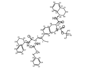 CC/C(=C\[C@H](NC(=O)OCc1ccccc1)C(=O)N[C@@H]1CCCc2ccccc21)c1ccc2c(c1)CN(C(=O)OC(C)(C)C)[C@H](C(=O)N[C@@H]1CCCc3ccccc31)C2